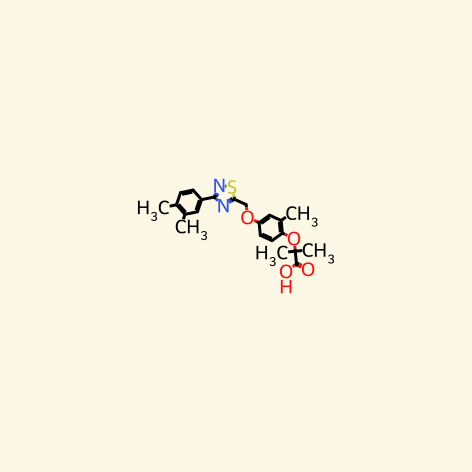 Cc1ccc(-c2nsc(COc3ccc(OC(C)(C)C(=O)O)c(C)c3)n2)cc1C